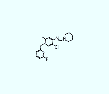 Cc1cc(N=CN2CCCCC2)c(Cl)cc1Cc1cccc(F)c1